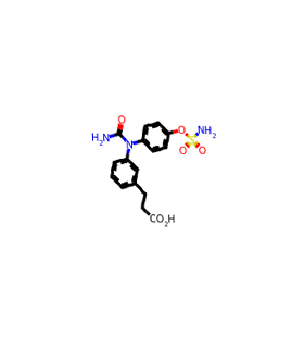 NC(=O)N(c1ccc(OS(N)(=O)=O)cc1)c1cccc(CCC(=O)O)c1